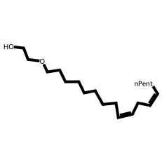 CCCCC/C=C\C/C=C\CCCCCCCCOCCO